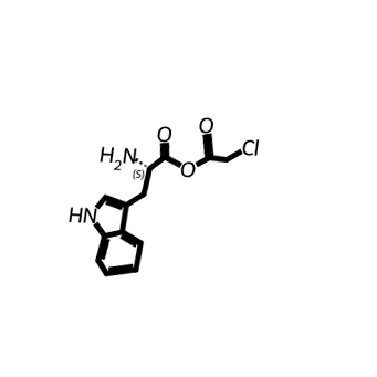 N[C@@H](Cc1c[nH]c2ccccc12)C(=O)OC(=O)CCl